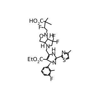 CCOC(=O)C1=C(CN2CC(F)(F)[C@H]3[C@@H]2CON3C[C@@H](F)C(C)(C)C(=O)O)NC(c2nc(C)cs2)=N[C@H]1c1cccc(F)c1C